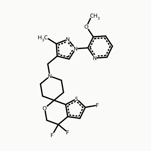 COc1cccnc1-n1cc(CN2CCC3(CC2)OCC(F)(F)c2cc(F)sc23)c(C)n1